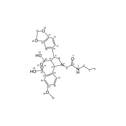 CCCNC(=O)CN1CC(c2ccc3c(c2)OCO3)C(C(=O)O)C1c1ccc(OC)cc1C(=O)O